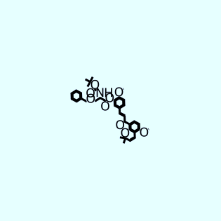 COc1ccc(/C=C/C(=O)c2ccc(OC)c3c2OC(C)(C)C=C3)cc1OC(=O)C(COCc1ccccc1)NC(=O)OC(C)(C)C